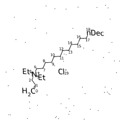 C=CC[N+](CC)(CC)CCCCCCCCCCCCCCCCCCCCCC.[Cl-]